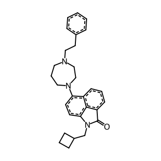 O=C1c2cccc3c(N4CCCN(CCc5ccccc5)CC4)ccc(c23)N1CC1CCC1